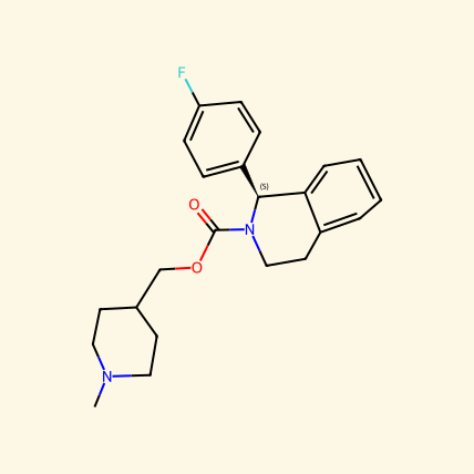 CN1CCC(COC(=O)N2CCc3ccccc3[C@@H]2c2ccc(F)cc2)CC1